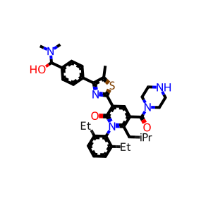 CCc1cccc(CC)c1-n1c(CC(C)C)c(C(=O)N2CCNCC2)cc(-c2nc(-c3ccc(C(O)N(C)C)cc3)c(C)s2)c1=O